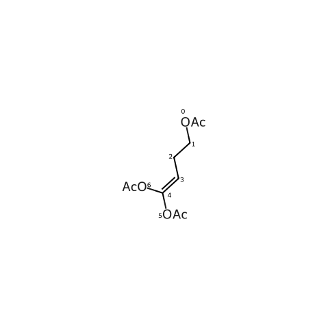 CC(=O)OCCC=C(OC(C)=O)OC(C)=O